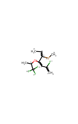 C=C(F)/C=C(OC(C)C(F)(F)F)\C(=C/C)SC